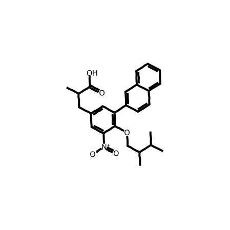 CC(Cc1cc(-c2ccc3ccccc3c2)c(OCC(C)C(C)C)c([N+](=O)[O-])c1)C(=O)O